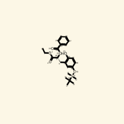 CCOC(=O)[C@@H](Cc1cc(O[Si](C)(C)C(C)(C)C)ccc1O)OC(=O)c1ccccc1